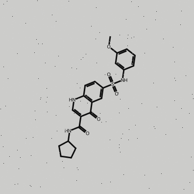 COc1cccc(NS(=O)(=O)c2ccc3[nH]cc(C(=O)NC4CCCC4)c(=O)c3c2)c1